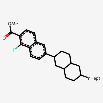 CCCCCCCC1CCC2CC(c3ccc4c(F)c(C(=O)OC)ccc4c3)CCC2C1